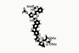 COC(=O)N[C@H](C(=O)N1C2CC2C[C@H]1c1ncc(-c2ccc3c(c2)COc2cc4c(ccc5nc([C@@H]6C[C@H](COC(F)F)CN6C(=O)[C@H](NC(=O)OC)c6ccccc6)[nH]c54)cc2-3)[nH]1)[C@@H](C)OC